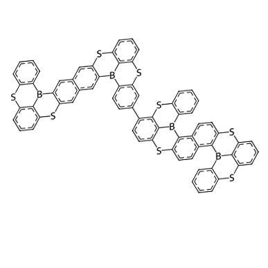 c1ccc2c(c1)Sc1cccc3c1B2c1cc2cc4c(cc2cc1S3)B1c2ccc(-c3ccc5c6c3Sc3ccccc3B6c3c(ccc6c7c(ccc36)Sc3cccc6c3B7c3ccccc3S6)S5)cc2Sc2cccc(c21)S4